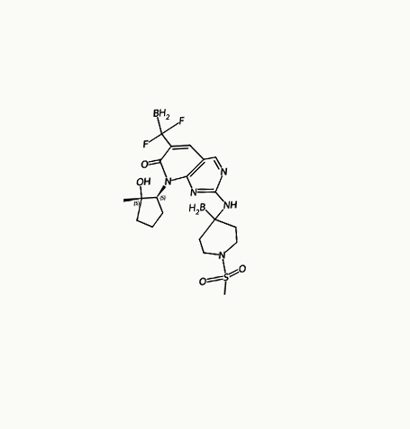 BC1(Nc2ncc3cc(C(B)(F)F)c(=O)n([C@H]4CCC[C@]4(C)O)c3n2)CCN(S(C)(=O)=O)CC1